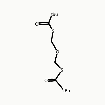 CC(C)(C)C(=O)SCOCSC(=O)C(C)(C)C